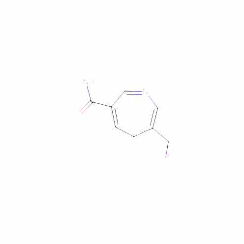 NC(=O)C1=CCC(CI)=CN=C1